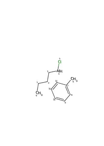 CCC[CH2][AlH][Cl].Cc1cc[c]cc1